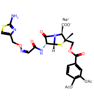 CC(=O)Oc1ccc(C(=O)OC[C@]2(C)S[C@@H]3[C@H](NC(=O)/C=N\OCc4csc(N)n4)C(=O)N3[C@H]2C(=O)[O-])cc1OC(C)=O.[Na+]